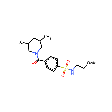 COCCNS(=O)(=O)c1ccc(C(=O)N2CC(C)CC(C)C2)cc1